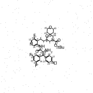 CC(C)(C)OC(=O)N1C[C@@H](CCc2c(F)cncc2NC(=O)[C@@H](N)[C@@H](c2ccc(Cl)cc2)c2cc(F)cc(F)c2)OC2(CCOCC2)C1